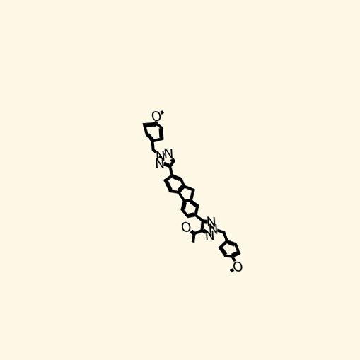 COc1ccc(Cn2ncc(-c3ccc4c(c3)Cc3cc(-c5nn(Cc6ccc(OC)cc6)nc5C(C)=O)ccc3-4)n2)cc1